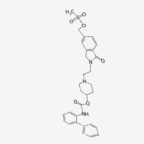 CS(=O)(=O)OCc1ccc2c(c1)CN(CCN1CCC(OC(=O)Nc3ccccc3-c3ccccc3)CC1)C2=O